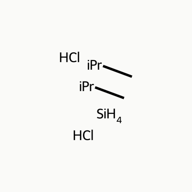 CC(C)C.CC(C)C.Cl.Cl.[SiH4]